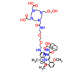 COc1cccc(OC)c1/C(=C/C(=N)C(=O)NC1(C(=O)O)C2CC3CC(C2)CC1C3)Nc1ccc(NCCOCCOCCNC(=O)CN2CCN(CCOCO)CCN(CC(=O)O)CCN(CC(=O)O)CC2)cc1C(C)C